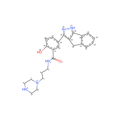 O=C(NCCCN1CCNCC1)c1cc(-c2n[nH]c3c2Cc2ccccc2-3)ccc1O